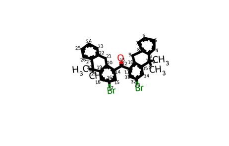 CC1(C)c2ccccc2Cc2c(C(=O)c3cc(Br)cc4c3Cc3ccccc3C4(C)C)cc(Br)cc21